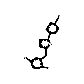 Cc1ccc(Cl)cc1Cc1ccc(-c2ccc(F)cc2)s1